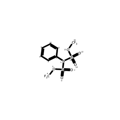 O=S(=O)(OC(F)(F)F)N(c1ccccc1)S(=O)(=O)OC(F)(F)F